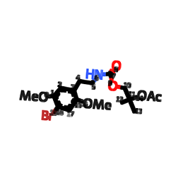 COc1cc(CCNC(=O)OCC(C)(C)OC(C)=O)c(OC)cc1Br